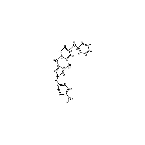 COc1ccc(Cn2cc(Oc3ccc(Oc4ccccc4)cc3)c(Br)n2)cc1